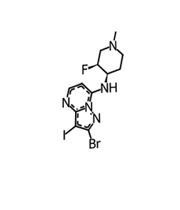 CN1CC[C@@H](Nc2ccnc3c(I)c(Br)nn23)[C@@H](F)C1